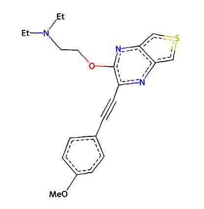 CCN(CC)CCOc1nc2cscc2nc1C#Cc1ccc(OC)cc1